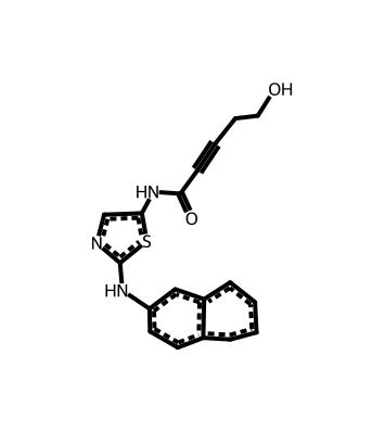 O=C(C#CCCO)Nc1cnc(Nc2ccc3ccccc3c2)s1